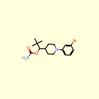 CC(C)(C)C(OC(N)=O)C1CCN(c2cccc(Br)c2)CC1